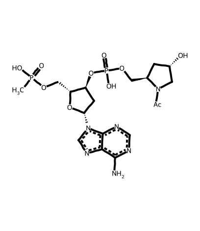 CC(=O)N1C[C@@H](O)C[C@@H]1COP(=O)(O)O[C@H]1C[C@H](n2cnc3c(N)ncnc32)O[C@@H]1COP(C)(=O)O